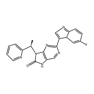 C[C@H](c1ccccn1)n1c(=O)[nH]c2cnc(-c3cnc4ccc(F)cn34)nc21